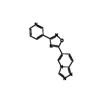 c1cncc(-c2noc(-c3ccc4nncn4c3)n2)c1